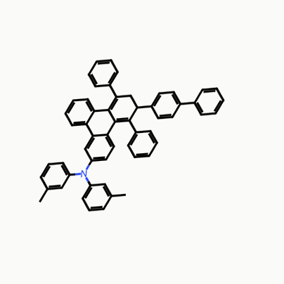 Cc1cccc(N(c2cccc(C)c2)c2ccc3c4c(c5ccccc5c3c2)=C(c2ccccc2)CC(c2ccc(-c3ccccc3)cc2)C=4c2ccccc2)c1